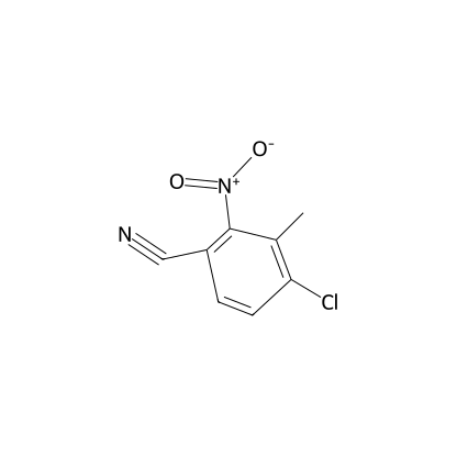 Cc1c(Cl)ccc(C#N)c1[N+](=O)[O-]